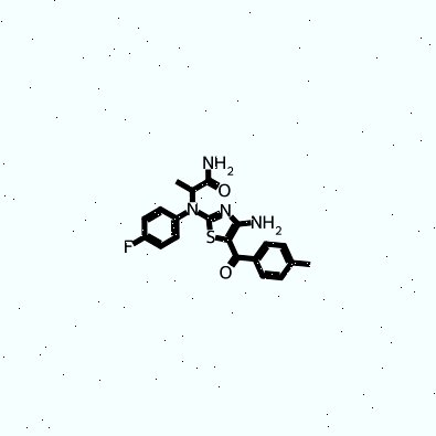 Cc1ccc(C(=O)c2sc(N(c3ccc(F)cc3)C(C)C(N)=O)nc2N)cc1